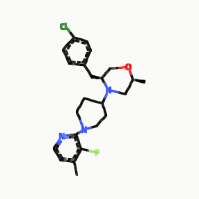 Cc1ccnc(N2CCC(N3C[C@H](C)OC[C@@H]3Cc3ccc(Cl)cc3)CC2)c1F